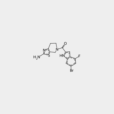 Nc1nc2c(s1)CN(C(=O)c1cc3c(F)cc(Br)cc3[nH]1)CC2